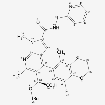 Cc1nc2c(cc(C(=O)NCc3ccccn3)n2C)c(-c2cc(F)c3c(c2C)CCCO3)c1[C@H](OC(C)(C)C)C(=O)O